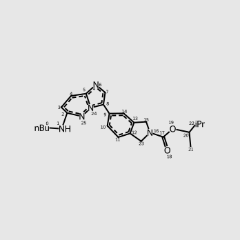 CCCCNc1ccc2ncc(-c3ccc4c(c3)CN(C(=O)OC(C)C(C)C)C4)n2n1